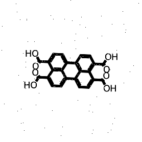 O=C(O)c1ccc2c3ccc(C(=O)O)c4c(C(=O)O)ccc(c5ccc(C(=O)O)c1c25)c43